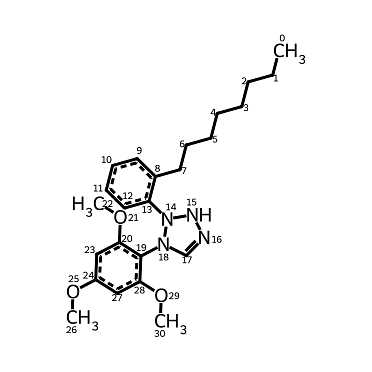 CCCCCCCCc1ccccc1N1NN=CN1c1c(OC)cc(OC)cc1OC